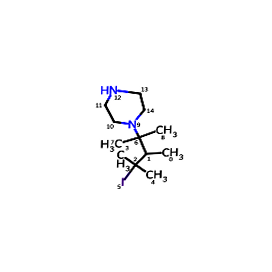 CC(C(C)(C)I)C(C)(C)N1CCNCC1